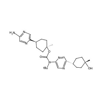 CC(C)(C)N(C(=O)O[C@]1(C)CC[C@H](c2cnc(N)cn2)CC1)c1cnc([C@H]2CC[C@@](C)(O)CC2)cn1